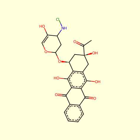 CC(=O)[C@]1(O)Cc2c(O)c3c(c(O)c2[C@@H](OC2CC(NCl)C(O)=CO2)C1)C(=O)c1ccccc1C3=O